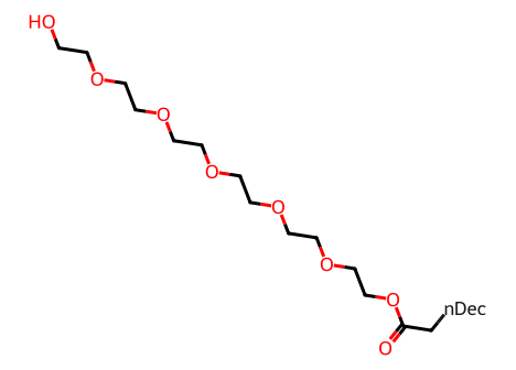 CCCCCCCCCCCC(=O)OCCOCCOCCOCCOCCOCCO